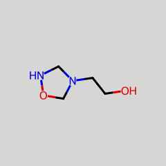 OCCN1CNOC1